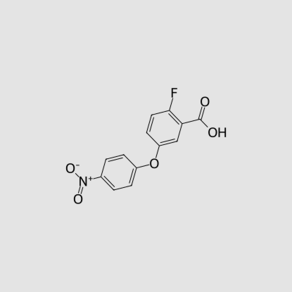 O=C(O)c1cc(Oc2ccc([N+](=O)[O-])cc2)ccc1F